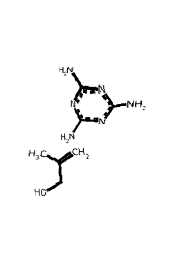 C=C(C)CO.Nc1nc(N)nc(N)n1